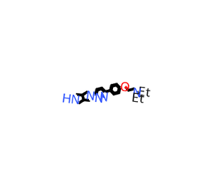 CCN(CC)CCOc1ccc(-c2ccc(N3CC4CNCC4C3)nn2)cc1